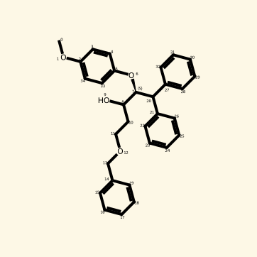 COc1ccc(O[C@H](C(O)CCOCc2ccccc2)C(c2ccccc2)c2ccccc2)cc1